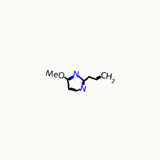 C=CCc1nccc(OC)n1